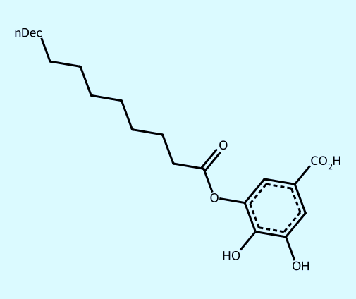 CCCCCCCCCCCCCCCCCC(=O)Oc1cc(C(=O)O)cc(O)c1O